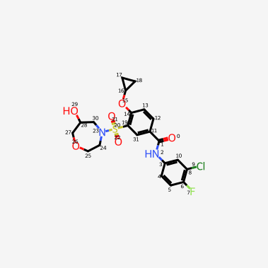 O=C(Nc1ccc(F)c(Cl)c1)c1ccc(OC2CC2)c(S(=O)(=O)N2CCOCC(O)C2)c1